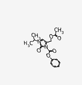 CC(=O)OCc1cn(C(C)C)c(=O)n1C(=O)Oc1ccccc1